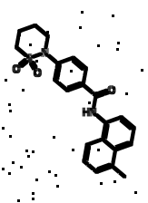 Cc1cccc2c(NC(=O)c3ccc(N4CCCCS4(=O)=O)cc3)cccc12